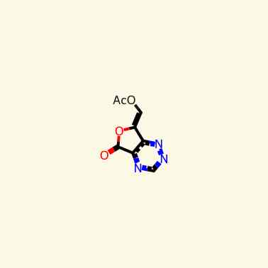 CC(=O)OC=C1OC(=O)c2ncnnc21